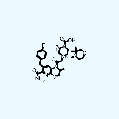 CC1COc2nc(C(N)=O)c(Cc3ccc(F)cc3)cc2N1C(=O)CN1C[C@@H](C)N(C(=O)O)C[C@@H]1CN1CCOCC1(C)C